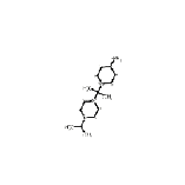 CC(C)N1CCN(C(C)(C)N2CCC(N)CC2)CC1